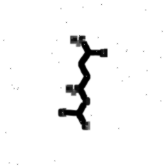 CC(Cl)CC[SiH2]OC(Cl)Cl